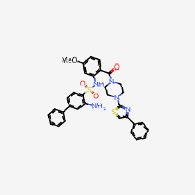 COc1ccc(C(=O)N2CCN(c3nc(-c4ccccc4)cs3)CC2)c(NS(=O)(=O)c2ccc(-c3ccccc3)cc2N)c1